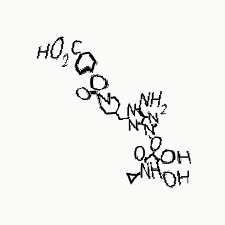 Nc1nc(CC2CCN(C(=O)Oc3ccc(C(=O)O)cc3)CC2)nc2c1ncn2CO[C@H](C(=O)NC1CC1)C(O)CO